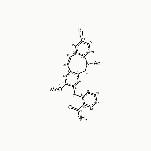 COc1cc2c(cc1Cc1ccccc1C(N)=O)CN(C(C)=O)c1ccc(Cl)cc1C=C2